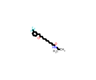 CC(C)CNC(=O)C=CCCC=CCCC(=O)Cc1cccc(C(F)(F)F)c1